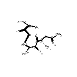 CC[C@H](C)C(NCC(=O)[C@H](C)NC)C(=O)C(=O)[C@@H](N)CC(N)=O